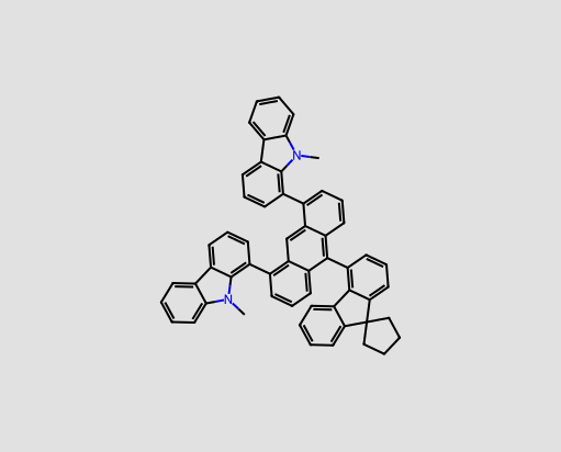 Cn1c2ccccc2c2cccc(-c3cccc4c(-c5cccc6c5-c5ccccc5C65CCCC5)c5cccc(-c6cccc7c8ccccc8n(C)c67)c5cc34)c21